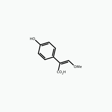 COC=C(C(=O)O)c1ccc(O)cc1